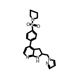 O=S(=O)(c1ccc(-c2ccnc3c2CC(Cn2cccn2)N3)cc1)N1CCCC1